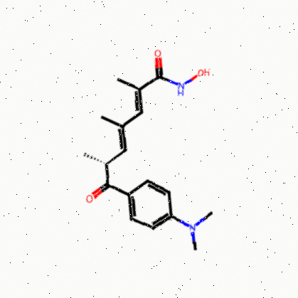 CC(=C\[C@@H](C)C(=O)c1ccc(N(C)C)cc1)/C=C(\C)C(=O)NO